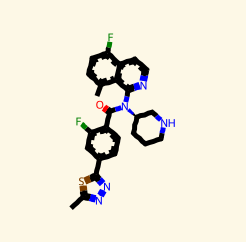 Cc1nnc(-c2ccc(C(=O)N(c3nccc4c(F)ccc(C)c34)[C@@H]3CCCNC3)c(F)c2)s1